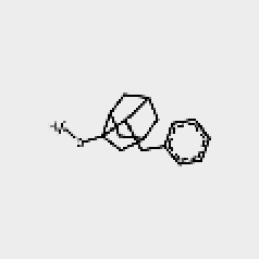 COC12CC3CC(CC1C3)C2Cc1ccccc1